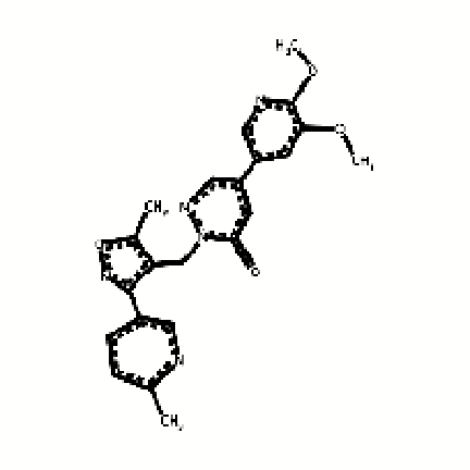 COc1cc(-c2cnn(Cc3c(-c4ccc(C)nc4)noc3C)c(=O)c2)cnc1OC